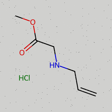 C=CCNCC(=O)OC.Cl